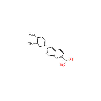 COC1=CC=C(c2ccc3cc(B(O)O)ccc3c2)CC1C(C)(C)C